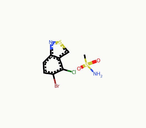 CS(N)(=O)=O.Clc1c(Br)ccc2nscc12